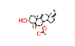 C/C=C1/CCC2C3C(=CC[C@]12C)[C@@]1(C)CC[C@@H](O)C[C@H]1C[C@H]3OC(C)=O